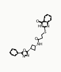 O=C(CCSc1nc2ccccc2c(=O)[nH]1)N[C@H]1C[C@H](c2nnc(-c3ccccc3)o2)C1